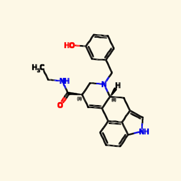 CCNC(=O)[C@@H]1C=C2c3cccc4[nH]cc(c34)C[C@H]2N(Cc2cccc(O)c2)C1